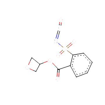 O=C=NS(=O)(=O)c1ccccc1C(=O)OC1COC1